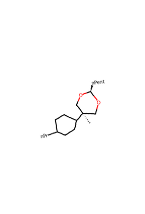 CCCCC[C@H]1OC[C@@](C)(C2CCC(CCC)CC2)CO1